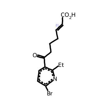 CCc1nc(Br)ccc1C(=O)CCC/C=C/C(=O)O